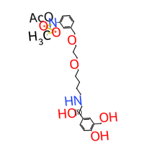 CC(=O)ON(c1cccc(COCCCOCCCCCNC[C@@H](O)c2ccc(O)c(CO)c2)c1)S(C)(=O)=O